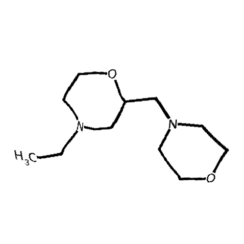 CCN1CCOC(CN2CCOCC2)C1